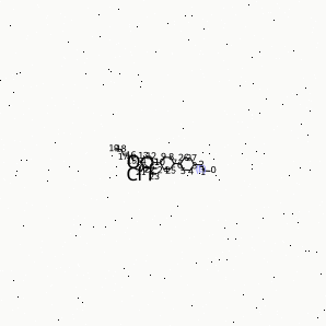 C/C=C/C1CCC(C2CCC(c3ccc(OCCCC)c(Cl)c3F)CC2)CC1